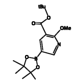 COc1ncc(B2OC(C)(C)C(C)(C)O2)cc1C(=O)OC(C)(C)C